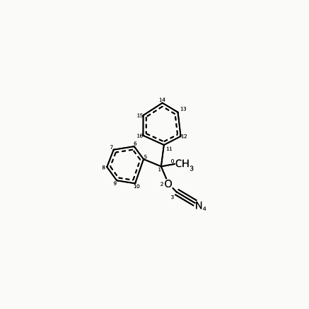 CC(OC#N)(c1ccccc1)c1ccccc1